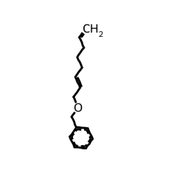 C=CCCCC=CCOCc1ccccc1